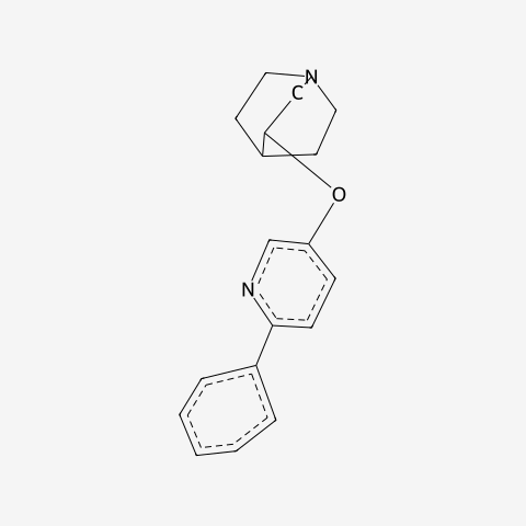 c1ccc(-c2ccc(OC3CN4CCC3CC4)cn2)cc1